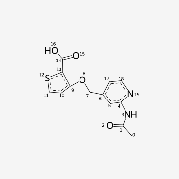 CC(=O)Nc1cc(COc2ccsc2C(=O)O)ccn1